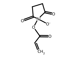 C=CC(=O)O[N+]1([O-])C(=O)CCC1=O